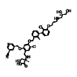 Cc1c(COc2cc(OCc3cncc(C#N)c3)c(CN[C@](C)(CO)C(=O)O)cc2Cl)cccc1-c1cccc(OCCCNC[C@H](O)CO)c1Cl